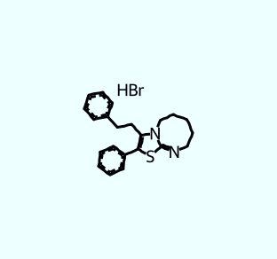 Br.c1ccc(CCC2=C(c3ccccc3)SC3=NCCCCCN32)cc1